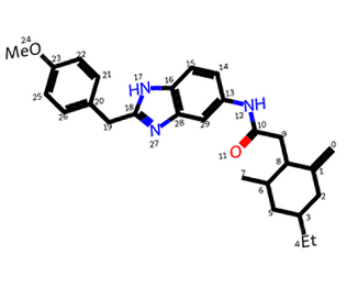 C=C1CC(CC)CC(C)C1CC(=O)Nc1ccc2[nH]c(Cc3ccc(OC)cc3)nc2c1